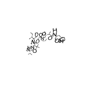 CC[C@H](C)[C@@H]([C@@H](CC(=O)N1CCC[C@H]1[C@H](OC)[C@@H](C)C(=O)N[C@H](CO)Cc1cccs1)OC)N(C)C(=O)[C@@H](NC(=O)[C@H](C(C)C)N(C)C)C(C)(C)C